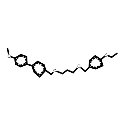 CCSc1ccc(COCCCOCc2ccc(-c3ccc(OC)cc3)cc2)cc1